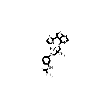 CC(=O)Nc1cccc(OCC(C)(C)COc2ncnc3scc(-c4nccs4)c23)c1